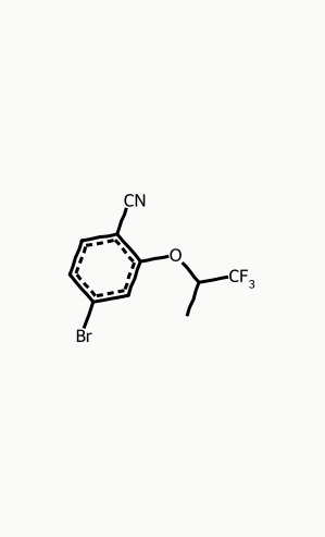 CC(Oc1cc(Br)ccc1C#N)C(F)(F)F